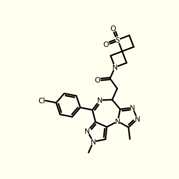 Cc1nnc2n1-c1cn(C)nc1C(c1ccc(Cl)cc1)=NC2CC(=O)N1CC2(CCS2(=O)=O)C1